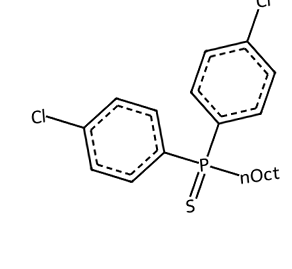 CCCCCCCCP(=S)(c1ccc(Cl)cc1)c1ccc(Cl)cc1